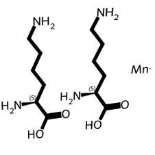 NCCCC[C@H](N)C(=O)O.NCCCC[C@H](N)C(=O)O.[Mn]